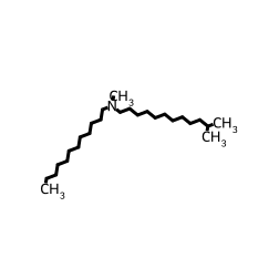 CCCCCCCCCCCCN(C)CCCCCCCCCCC(C)C